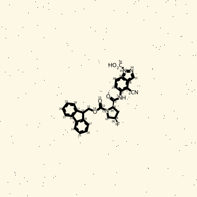 N#Cc1c(NC(=O)[C@H]2C[C@@H](F)CN2C(=O)OCC2c3ccccc3-c3ccccc32)ccc2c1cnn2C(=O)O